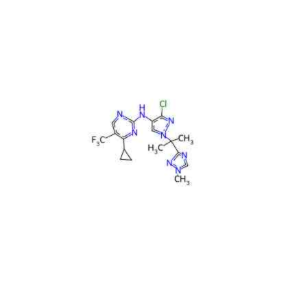 Cn1cnc(C(C)(C)n2cc(Nc3ncc(C(F)(F)F)c(C4CC4)n3)c(Cl)n2)n1